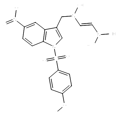 COc1ccc(S(=O)(=O)n2cc(CN(C)C=CN(C)C)c3cc([N+](=O)[O-])ccc32)cc1